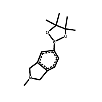 CN1Cc2ccc(B3OC(C)(C)C(C)(C)O3)cc2C1